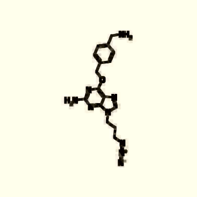 [N-]=[N+]=NCCCn1cnc2c(OCc3ccc(CN)cc3)nc(N)nc21